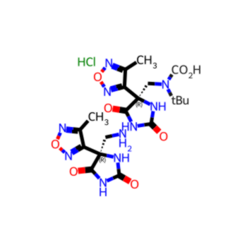 Cc1nonc1[C@@]1(CN(C(=O)O)C(C)(C)C)NC(=O)NC1=O.Cc1nonc1[C@@]1(CN)NC(=O)NC1=O.Cl